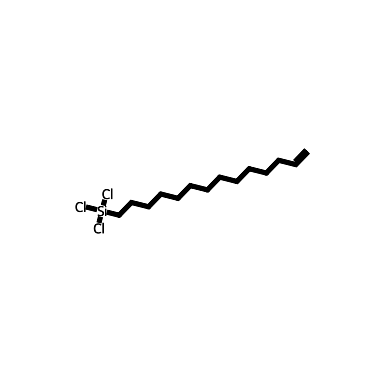 C=CCCCCCCCCCCCC[Si](Cl)(Cl)Cl